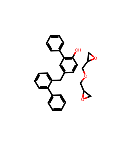 C(OCC1CO1)C1CO1.Oc1ccc(Cc2ccccc2-c2ccccc2)cc1-c1ccccc1